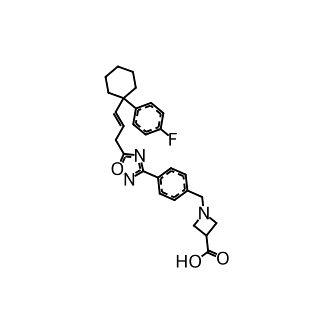 O=C(O)C1CN(Cc2ccc(-c3noc(CC=CC4(c5ccc(F)cc5)CCCCC4)n3)cc2)C1